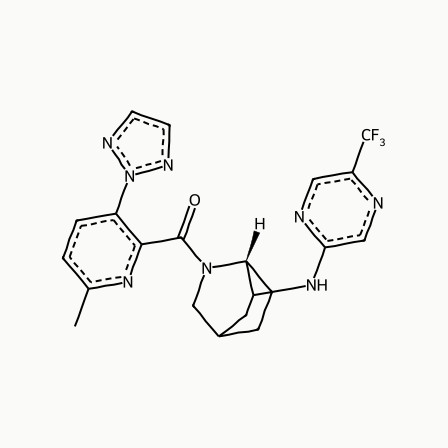 Cc1ccc(-n2nccn2)c(C(=O)N2CC3CC[C@@H]2C(Nc2cnc(C(F)(F)F)cn2)C3)n1